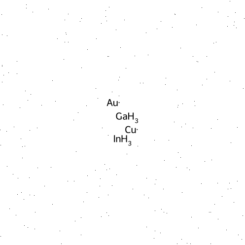 [Au].[Cu].[GaH3].[InH3]